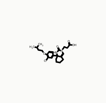 CC(C)CCOc1ccc(C23CCCCC2=CN(CCC(=O)O)C(=O)N3)cc1Cl